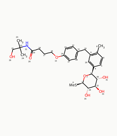 CS[C@H]1O[C@@H](c2ccc(C)c(Cc3ccc(OCCCC(=O)NC(C)(C)CO)cc3)c2)[C@H](O)[C@@H](O)[C@@H]1O